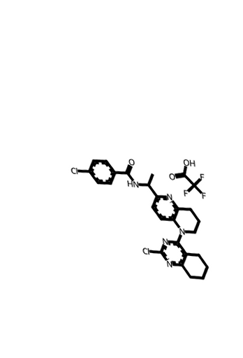 CC(NC(=O)c1ccc(Cl)cc1)c1ccc2c(n1)CCCN2c1nc(Cl)nc2c1CCCC2.O=C(O)C(F)(F)F